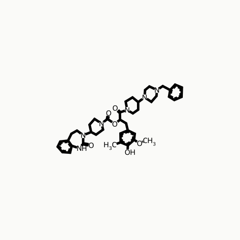 COc1cc(CC(OC(=O)N2CCC(N3CCc4ccccc4NC3=O)CC2)C(=O)N2CCC(N3CCN(Cc4ccccc4)CC3)CC2)cc(C)c1O